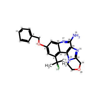 CC(C)(F)c1cc(OCc2ccccc2)cc2nc(N)c3nc4n(c3c12)CCOC4